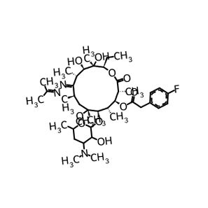 CC[C@H]1OC(=O)[C@H](C)[C@@H](OC(=O)Cc2ccc(F)cc2)[C@H](C)[C@@H](OC2OC(C)CC(N(C)C)C2O)[C@](C)(OC)C[C@@H](C)/C(=N\N=C(C)C)[C@H](C)[C@@H](O)[C@]1(C)O